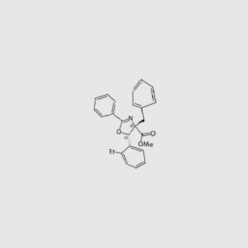 CCc1ccccc1[C@@H]1OC(c2ccccc2)=N[C@]1(Cc1ccccc1)C(=O)OC